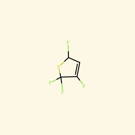 FC1=CC(F)SC1(F)F